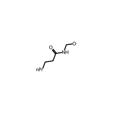 CCCCCC(=O)NC[O]